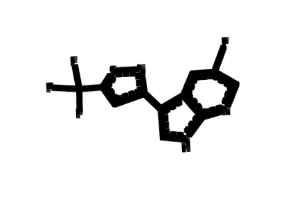 Fc1cnc2[nH]cc(-c3cc(C(F)(F)F)sn3)c2c1